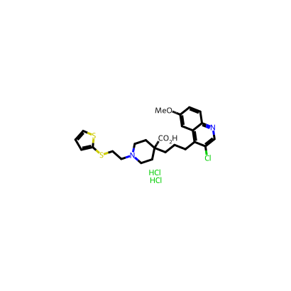 COc1ccc2ncc(Cl)c(CCCC3(C(=O)O)CCN(CCSc4cccs4)CC3)c2c1.Cl.Cl